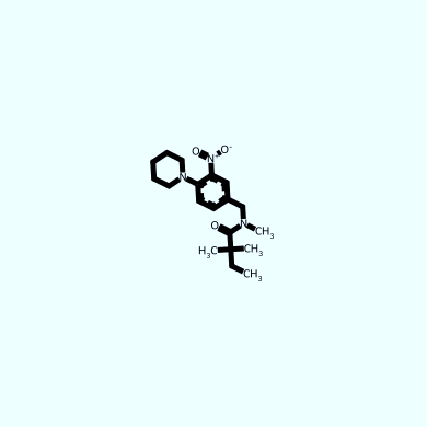 CCC(C)(C)C(=O)N(C)Cc1ccc(N2CCCCC2)c([N+](=O)[O-])c1